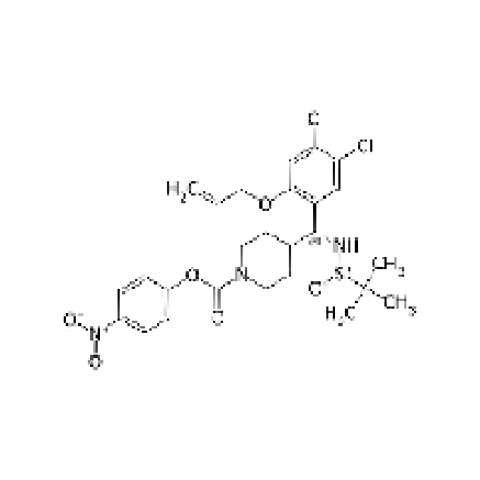 C=CCOc1cc(Cl)c(Cl)cc1[C@H](N[S+]([O-])C(C)(C)C)C1CCN(C(=O)Oc2ccc([N+](=O)[O-])cc2)CC1